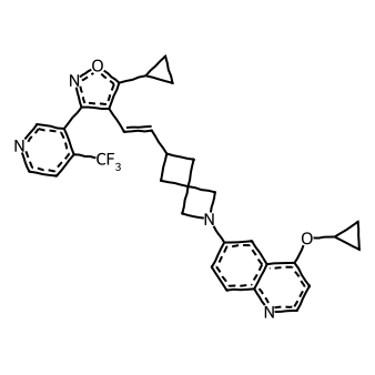 FC(F)(F)c1ccncc1-c1noc(C2CC2)c1/C=C/C1CC2(C1)CN(c1ccc3nccc(OC4CC4)c3c1)C2